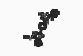 O=C(NC(C(=O)O)[C@H]1CN2CCC1CC2)c1ccc(C(=O)NC(C(=O)O)[C@H]2CN3CCC2CC3)cc1